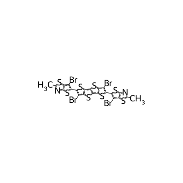 Cc1nc2sc(-c3sc4c(sc5c6sc(-c7sc8nc(C)sc8c7Br)c(Br)c6sc45)c3Br)c(Br)c2s1